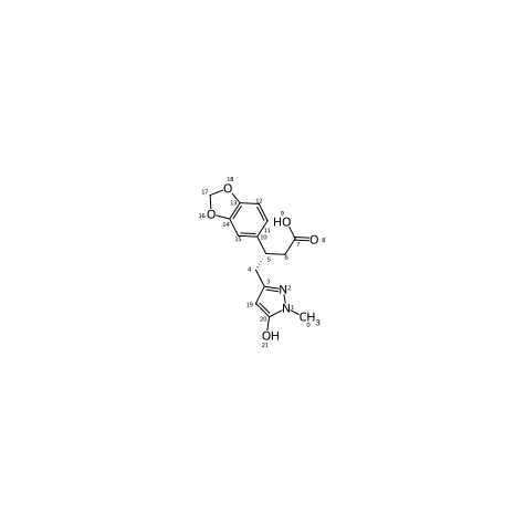 Cn1nc(C[C@@H](CC(=O)O)c2ccc3c(c2)OCO3)cc1O